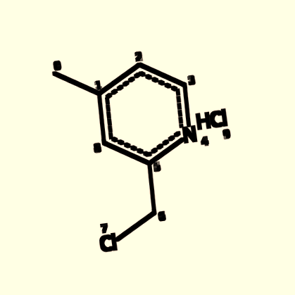 Cc1ccnc(CCl)c1.Cl